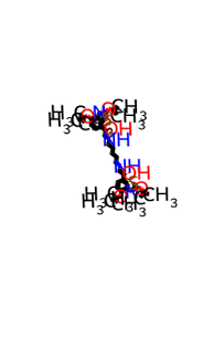 CC(C)Oc1nc2c(OC(C)(C)C)ccc([C@@H](O)CNCCCCCNC[C@H](O)c3ccc(OC(C)(C)C)c4nc(OC(C)C)sc34)c2s1